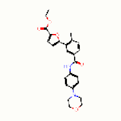 CCOC(=O)c1ccc(-c2cc(C(=O)Nc3ccc(N4CCOCC4)cc3)ccc2C)o1